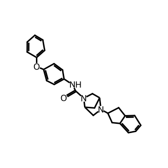 O=C(Nc1ccc(Oc2ccccc2)cc1)N1CC2CC1CN2C1Cc2ccccc2C1